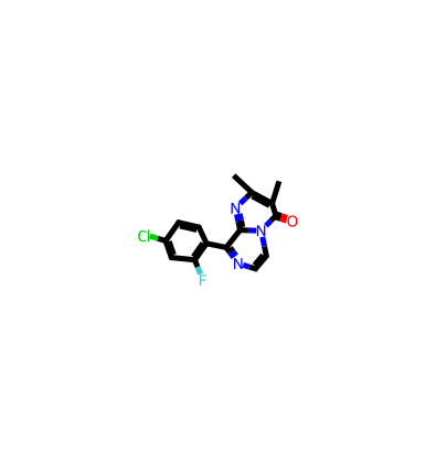 Cc1nc2c(-c3ccc(Cl)cc3F)nccn2c(=O)c1C